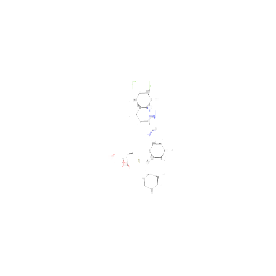 C[C@H](CSC1c2ccccc2CCc2ccc(/C=C/c3ccc4cc(F)c(F)cc4n3)cc21)C(=O)O